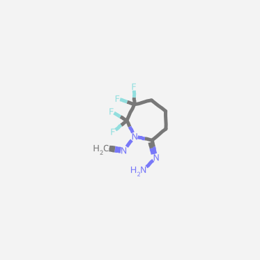 C=NN1/C(=N\N)CCCC(F)(F)C1(F)F